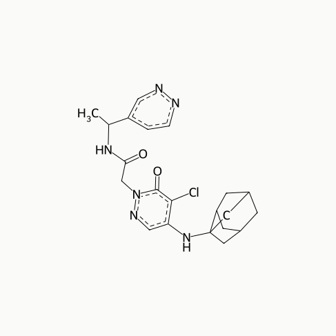 CC(NC(=O)Cn1ncc(NC23CC4CC(CC2C4)C3)c(Cl)c1=O)c1ccnnc1